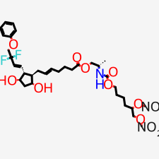 C[C@@H](COC(=O)CCCC=CC[C@@H]1[C@@H](C=CC(F)(F)COc2ccccc2)[C@H](O)C[C@@H]1O)NC(=O)OCCCCC(CO[N+](=O)[O-])O[N+](=O)[O-]